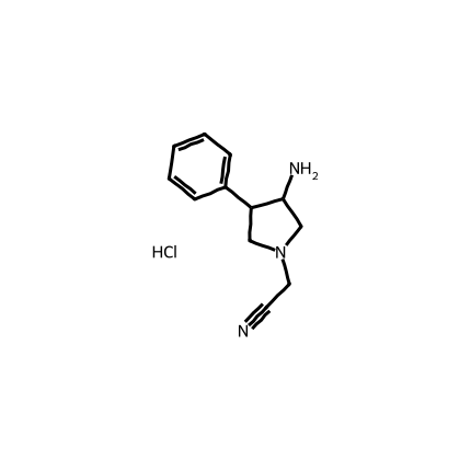 Cl.N#CCN1CC(N)C(c2ccccc2)C1